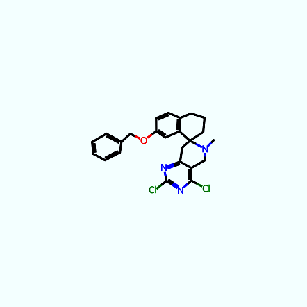 CN1Cc2c(Cl)nc(Cl)nc2CC12CCCc1ccc(OCc3ccccc3)cc12